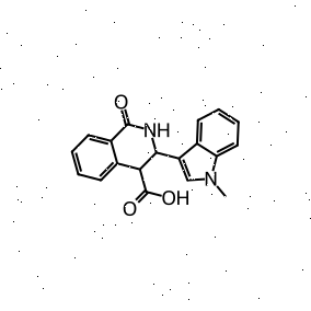 Cn1cc(C2NC(=O)c3ccccc3C2C(=O)O)c2ccccc21